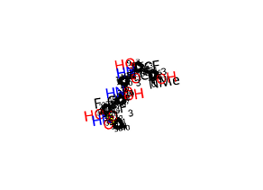 CNc1cc(C(c2ccc(O)c(NC(=O)c3cccc(C(=O)Nc4cc(C(c5ccc(O)c(NS(=O)(=O)c6ccc(C)cc6)c5)(C(F)(F)F)C(F)(F)F)ccc4O)c3)c2)(C(F)(F)F)C(F)(F)F)ccc1O